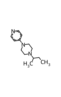 CCC(C)N1CCN(c2ccncc2)CC1